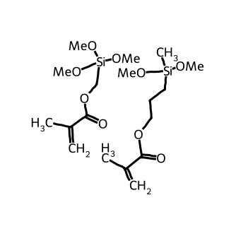 C=C(C)C(=O)OCCC[Si](C)(OC)OC.C=C(C)C(=O)OC[Si](OC)(OC)OC